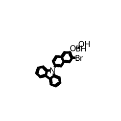 OBOc1cc2ccc(-n3c4ccccc4c4ccccc43)cc2cc1Br